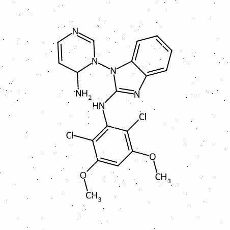 COc1cc(OC)c(Cl)c(Nc2nc3ccccc3n2N2C=NC=CC2N)c1Cl